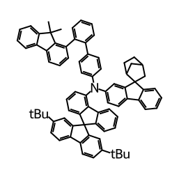 CC(C)(C)c1ccc2c(c1)C1(c3cc(C(C)(C)C)ccc3-2)c2ccccc2-c2c(N(c3ccc(-c4ccccc4-c4cccc5c4C(C)(C)c4ccccc4-5)cc3)c3ccc4c(c3)C3(CC5CCC3C5)c3ccccc3-4)cccc21